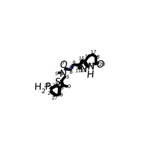 Cc1c(CN(C)C(=O)/C=C/c2cnc3c(c2)CCCC(=O)N3)sc2c(P)cccc12